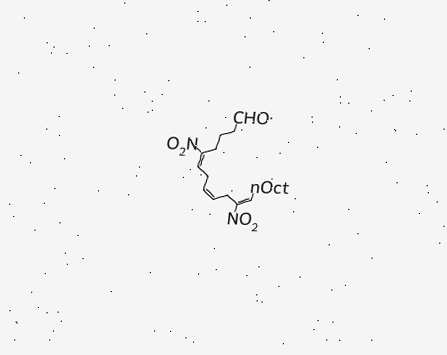 CCCCCCCC/C=C(\C/C=C\C/C=C(\CCC[C]=O)[N+](=O)[O-])[N+](=O)[O-]